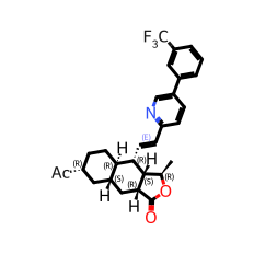 CC(=O)[C@@H]1CC[C@@H]2[C@@H](C1)C[C@H]1C(=O)O[C@H](C)[C@H]1[C@H]2/C=C/c1ccc(-c2cccc(C(F)(F)F)c2)cn1